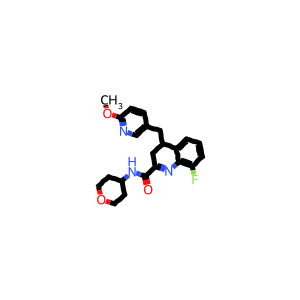 COc1ccc(CC2CC(C(=O)NC3CCOCC3)=Nc3c(F)cccc32)cn1